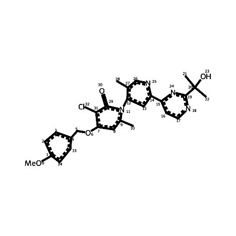 COc1ccc(COc2cc(C)n(-c3cc(-c4ccnc(C(C)(C)O)n4)ncc3C)c(=O)c2Cl)cc1